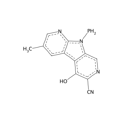 Cc1cnc2c(c1)c1c(O)c(C#N)ncc1n2P